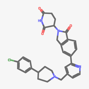 O=C1CCC(N2Cc3cc(-c4cc(CN5CCC(c6ccc(Cl)cc6)CC5)ccn4)ccc3C2=O)C(=O)N1